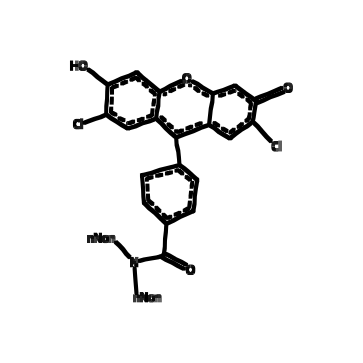 CCCCCCCCCN(CCCCCCCCC)C(=O)c1ccc(-c2c3cc(Cl)c(=O)cc-3oc3cc(O)c(Cl)cc23)cc1